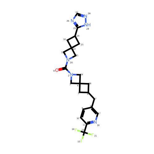 O=C(N1CC2(CC(Cc3ccc(C(F)(F)F)nc3)C2)C1)N1CC2(CC(c3ncn[nH]3)C2)C1